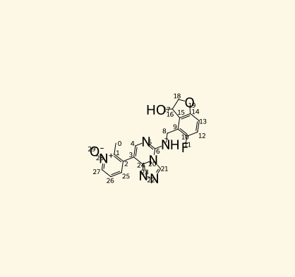 Cc1c(-c2cnc(NCc3c(F)ccc4c3C(O)CO4)n3cnnc23)ccc[n+]1[O-]